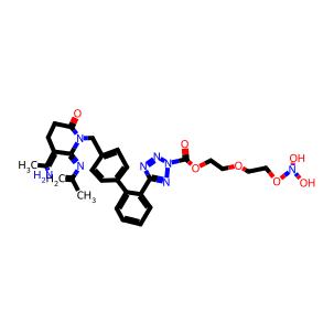 C=C(C)/N=C1\C(=C(\C)N)CCC(=O)N1Cc1ccc(-c2ccccc2-c2nnn(C(=O)OCCOCCON(O)O)n2)cc1